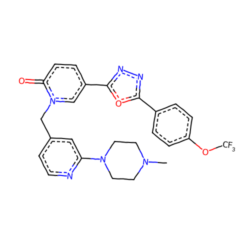 CN1CCN(c2cc(Cn3cc(-c4nnc(-c5ccc(OC(F)(F)F)cc5)o4)ccc3=O)ccn2)CC1